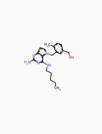 CCCCCNc1nc(N)nc2ccn(Cc3cc(CO)ccc3C)c12